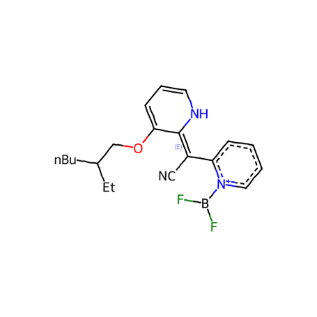 CCCCC(CC)COC1=CC=CN/C1=C(/C#N)c1cccc[n+]1B(F)F